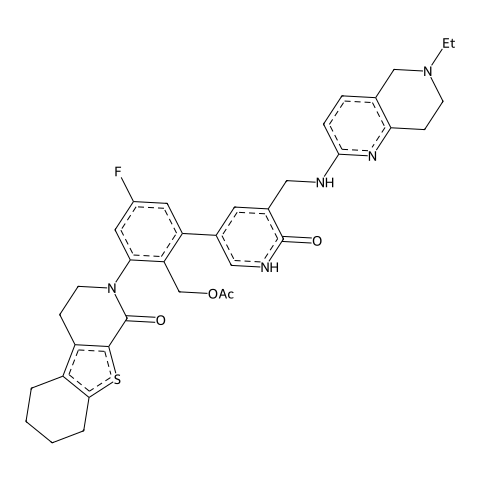 CCN1CCc2nc(NCc3cc(-c4cc(F)cc(N5CCc6c(sc7c6CCCC7)C5=O)c4COC(C)=O)c[nH]c3=O)ccc2C1